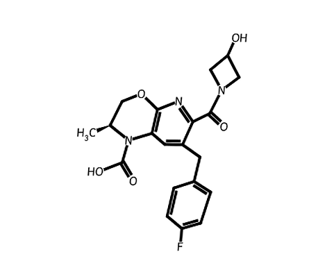 C[C@H]1COc2nc(C(=O)N3CC(O)C3)c(Cc3ccc(F)cc3)cc2N1C(=O)O